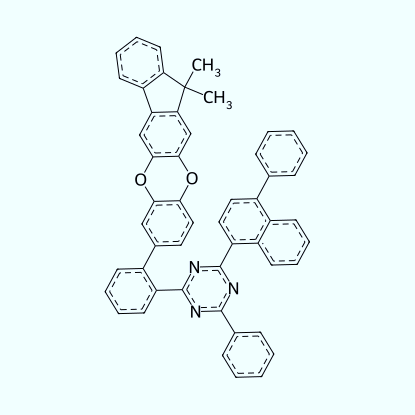 CC1(C)c2ccccc2-c2cc3c(cc21)Oc1ccc(-c2ccccc2-c2nc(-c4ccccc4)nc(-c4ccc(-c5ccccc5)c5ccccc45)n2)cc1O3